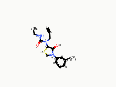 C#CCN(C(=O)NCC(C)(C)C)C1SCN(c2cccc(C(F)(F)F)c2)C1=O